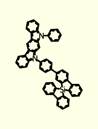 c1ccc(-n2c3ccccc3c3cc4c5ccccc5n(-c5ccc(-c6ccc7c(c6)[Si]6(c8ccccc8-c8ccccc86)c6ccccc6-7)cc5)c4cc32)cc1